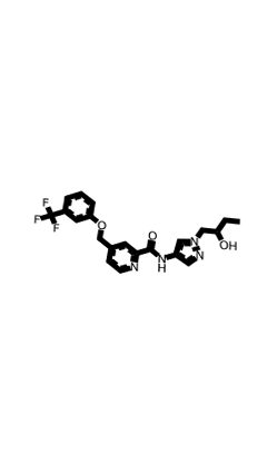 CCC(O)Cn1cc(NC(=O)c2cc(COc3cccc(C(F)(F)F)c3)ccn2)cn1